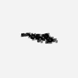 COCCN1CCN(c2cc(C(F)(F)F)c(-c3cnc4c(Nc5ccc(C(F)(F)F)cn5)ccnc4n3)nn2)CC1